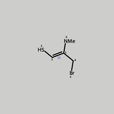 CN/C(=C\S)CBr